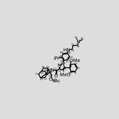 COc1cccc(OC)c1-c1cc(C(=O)NC2(COC(C)(C)C)C3CC4CC(C3)CC2C4)nn1-c1ccc(NCCCN(C)C)cc1C(C)C